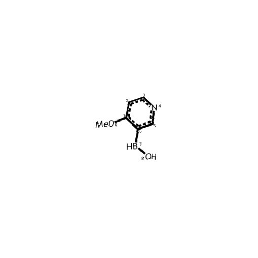 COc1ccncc1BO